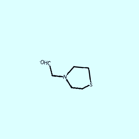 O=[C]CN1CCSCC1